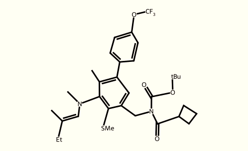 CC/C(C)=C/N(C)c1c(C)c(-c2ccc(OC(F)(F)F)cc2)cc(CN(C(=O)OC(C)(C)C)C(=O)C2CCC2)c1SC